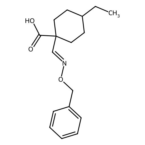 CCC1CCC(C=NOCc2ccccc2)(C(=O)O)CC1